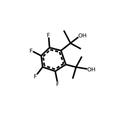 CC(C)(O)c1c(F)c(F)c(F)c(F)c1C(C)(C)O